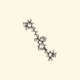 CCCCC(CCCOC)(C(=O)OCCCOC1CC(C)(C)NC(C)(C)C1)C(=O)OCCCOC1CC(C)(C)NC(C)(C)C1